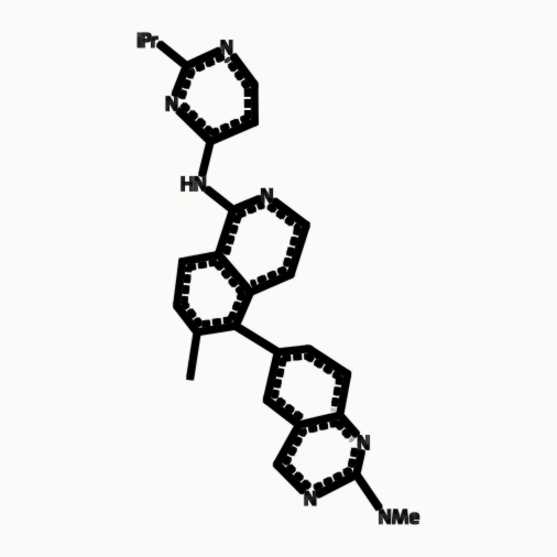 CNc1ncc2cc(-c3c(C)ccc4c(Nc5ccnc(C(C)C)n5)nccc34)ccc2n1